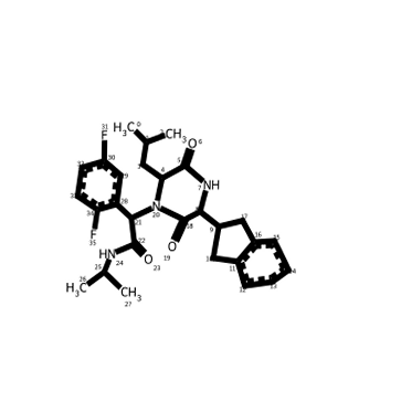 CC(C)CC1C(=O)NC(C2Cc3ccccc3C2)C(=O)N1C(C(=O)NC(C)C)c1cc(F)ccc1F